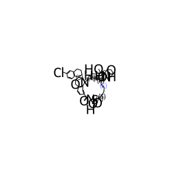 C[C@@H]1[C@@H](C)C/C=C/[C@@](O)(CN2CCOC[C@@H]2CO)[C@@H]2CC[C@H]2CN2C[C@@]3(CCCc4cc(Cl)ccc43)COc3ccc(cc32)C(=O)NS1(=O)=O